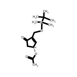 CC(=O)O[C@H]1C=C(CO[Si](C)(C)C(C)(C)C)C(=O)C1